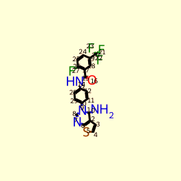 NC1c2ccsc2N=CN1c1ccc(NC(=O)c2cc(C(F)(F)F)ccc2F)cc1